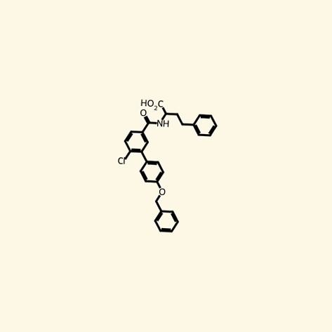 O=C(NC(CCc1ccccc1)C(=O)O)c1ccc(Cl)c(-c2ccc(OCc3ccccc3)cc2)c1